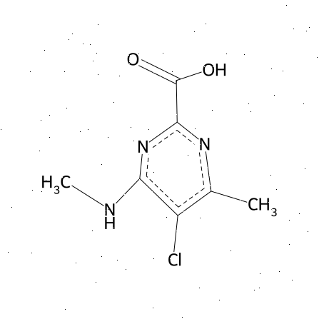 CNc1nc(C(=O)O)nc(C)c1Cl